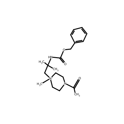 CC(=O)N1CC[N+](C)(CC(C)(C)NC(=O)OCc2ccccc2)CC1